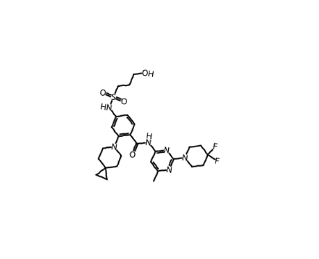 Cc1cc(NC(=O)c2ccc(NS(=O)(=O)CCCO)cc2N2CCC3(CC2)CC3)nc(N2CCC(F)(F)CC2)n1